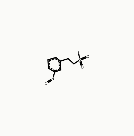 O=Nc1cccc(CCS(=O)(=O)I)c1